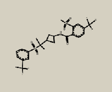 CC(C)(C1CC(NC(=O)c2ccc(C(F)(F)F)cc2S(C)(=O)=O)C1)S(=O)(=O)c1cccc(C(F)(F)F)c1